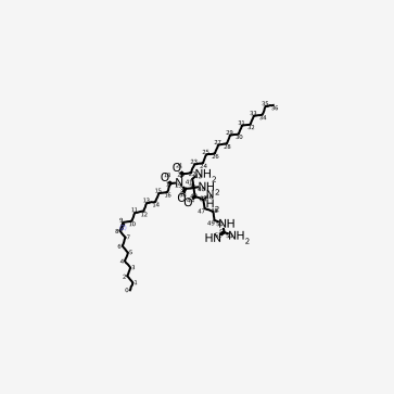 CCCCCCCC/C=C\CCCCCCCC(=O)N(C(=O)CCCCCCCCCCCCCCC)C(=O)C(N)(CN)C(=O)[C@@H](N)CCCNC(=N)N